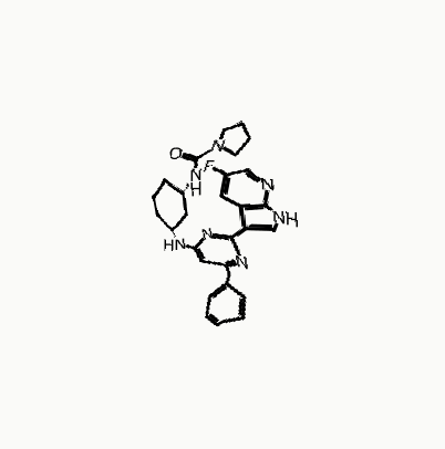 O=C(N[C@H]1CCC[C@@H](Nc2cc(-c3ccccc3)nc(-c3c[nH]c4ncc(F)cc34)n2)C1)N1CCCC1